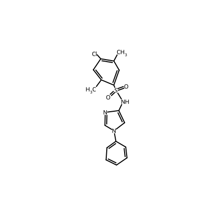 Cc1cc(S(=O)(=O)Nc2cn(-c3ccccc3)cn2)c(C)cc1Cl